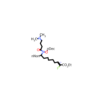 CCCCCCCCCCON(C(=O)CCCN(C)C)C(CCCCC/C=C(\F)C(=O)OCC)CCCCCCCCC